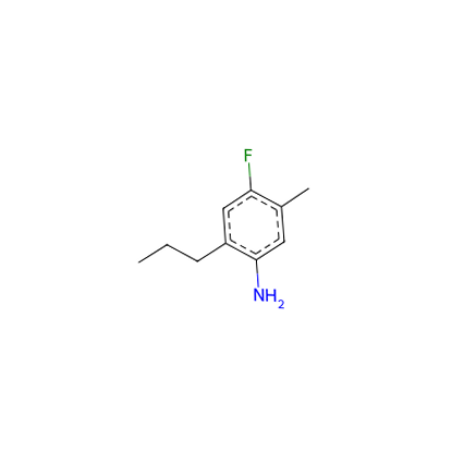 CCCc1cc(F)c(C)cc1N